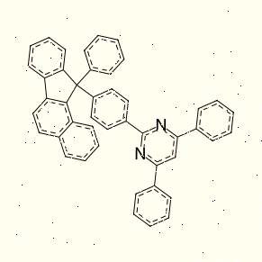 c1ccc(-c2cc(-c3ccccc3)nc(-c3ccc(C4(c5ccccc5)c5ccccc5-c5ccc6ccccc6c54)cc3)n2)cc1